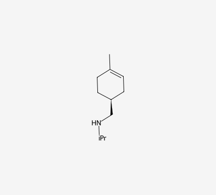 CC1=CC[C@@H](CNC(C)C)CC1